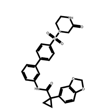 O=C1CN(S(=O)(=O)c2ccc(-c3cccc(NC(=O)C4(c5ccc6c(c5)OCO6)CC4)c3)cc2)CCN1